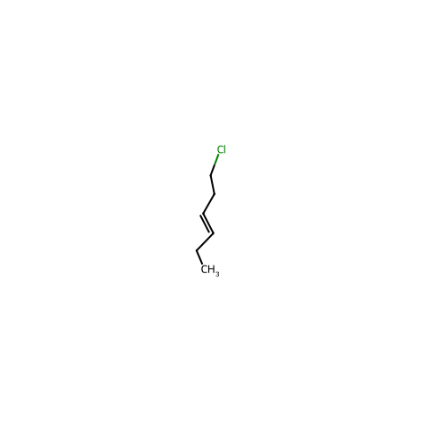 CCC=CCCCl